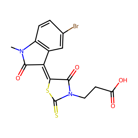 CN1C(=O)/C(=C2\SC(=S)N(CCC(=O)O)C2=O)c2cc(Br)ccc21